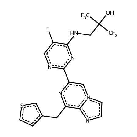 OC(CNc1nc(-c2cn3ccnc3c(Cc3ccsc3)n2)ncc1F)(C(F)(F)F)C(F)(F)F